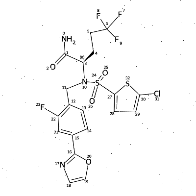 NC(=O)[C@@H](CCC(F)(F)F)N(Cc1ccc(-c2ncco2)cc1F)S(=O)(=O)c1ccc(Cl)s1